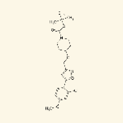 COc1ccc(-c2nc(COC3CCN(C(=O)OC(C)(C)C)CC3)no2)c(Cl)c1